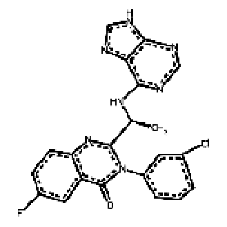 C[C@H](Nc1ncnc2[nH]cnc12)c1nc2ccc(F)cc2c(=O)n1-c1cccc(Cl)c1